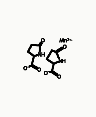 O=C1CCC(C(=O)[O-])N1.O=C1CCC(C(=O)[O-])N1.[Mn+2]